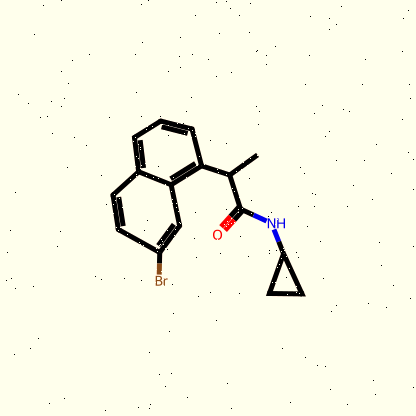 CC(C(=O)NC1CC1)c1cccc2ccc(Br)cc12